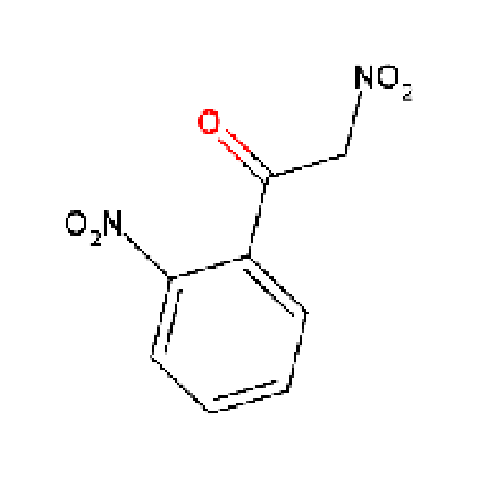 O=C(C[N+](=O)[O-])c1ccccc1[N+](=O)[O-]